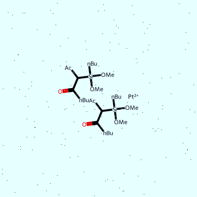 CCCCC(=O)C(C(C)=O)[Si](CCCC)(OC)OC.CCCCC(=O)C(C(C)=O)[Si](CCCC)(OC)OC.[Pt+2]